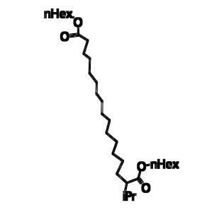 CCCCCCOC(=O)CCCCCCCCCCCCCCC(C(=O)OCCCCCC)C(C)C